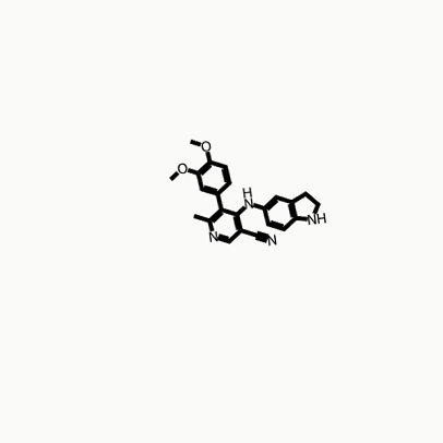 COc1ccc(-c2c(C)ncc(C#N)c2Nc2ccc3c(c2)CCN3)cc1OC